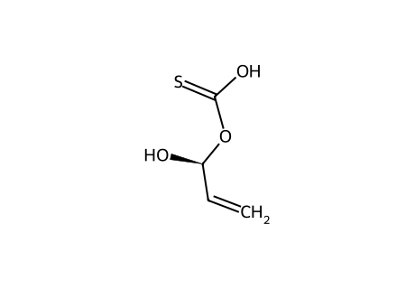 C=C[C@@H](O)OC(O)=S